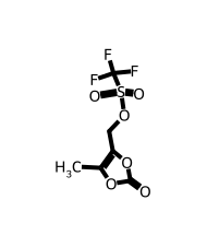 Cc1oc(=O)oc1COS(=O)(=O)C(F)(F)F